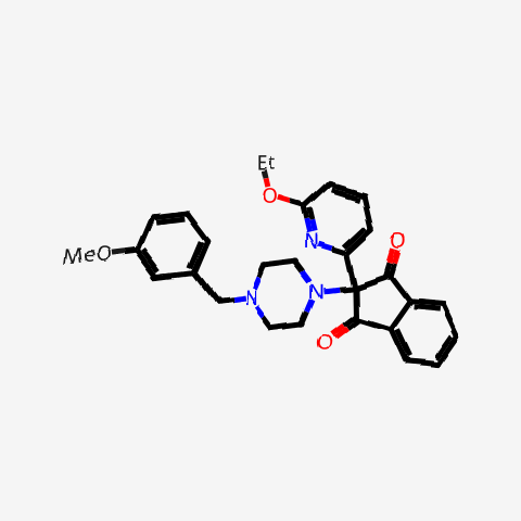 CCOc1cccc(C2(N3CCN(Cc4cccc(OC)c4)CC3)C(=O)c3ccccc3C2=O)n1